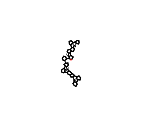 c1ccc2c(c1)c1cccc3c4cc5cc6c(cc5cc4n2c13)c1cccc2c3cc(-c4cccc5c4c4cccc7c8c9ccc%10c(c9ccc8n5c47)c4cccc5c7ccccc7n%10c54)ccc3n6c21